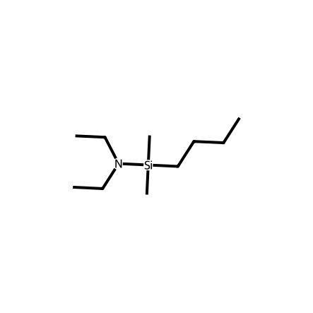 CCCC[Si](C)(C)N(CC)CC